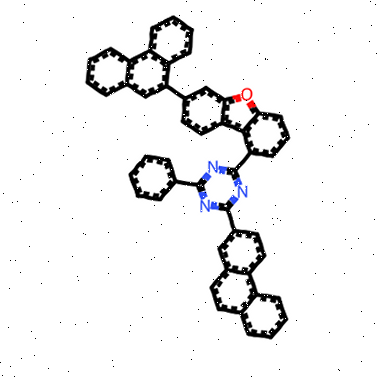 c1ccc(-c2nc(-c3ccc4c(ccc5ccccc54)c3)nc(-c3cccc4oc5cc(-c6cc7ccccc7c7ccccc67)ccc5c34)n2)cc1